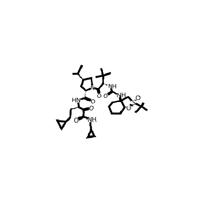 CC(C)[C@@H]1C[C@@H](C(=O)N[C@H](CCC2CC2)C(=O)C(=O)NC2CC2)N(C(=O)[C@@H](NC(=O)NC2(CS(=O)(=O)C(C)(C)C)CCCCC2)C(C)(C)C)C1